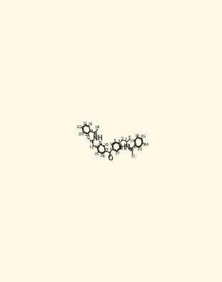 CC(Cc1ccc(C(=O)c2ccc(CC(C)N[C@H](C)c3ccccc3)cc2)cc1)N[C@H](C)c1ccccc1